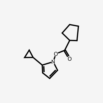 O=C(On1cccc1C1CC1)C1CCCC1